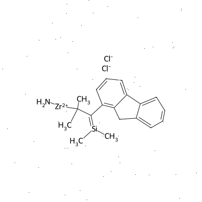 C[Si](C)=C(c1cccc2c1Cc1ccccc1-2)[C](C)(C)[Zr+2][NH2].[Cl-].[Cl-]